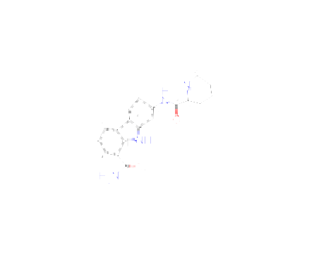 NC(=O)c1cccc2c1[nH]c1cc(NC(=O)C3CCCCN3)ccc12